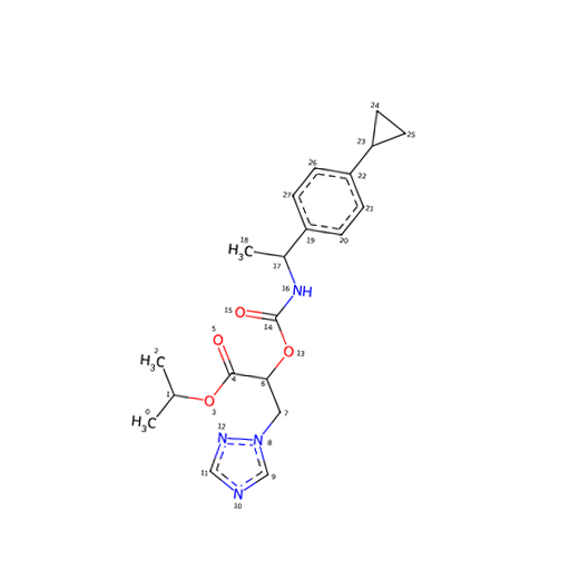 CC(C)OC(=O)C(Cn1cncn1)OC(=O)NC(C)c1ccc(C2CC2)cc1